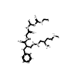 CCOC(=O)OC(C)OC(=O)CNC(=O)C(CSSCC(N)CCSC)Cc1ccccc1